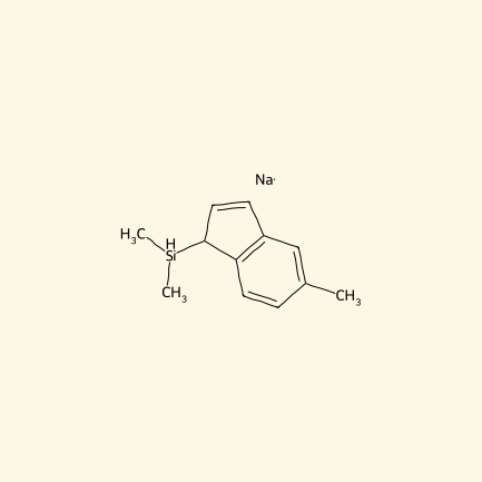 Cc1ccc2c(c1)C=CC2[SiH](C)C.[Na]